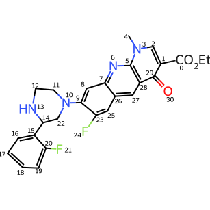 CCOC(=O)c1cn(C)c2nc3cc(N4CCNC(c5ccccc5F)C4)c(F)cc3cc2c1=O